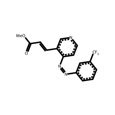 COC(=O)/C=C/c1cnccc1/N=N\c1cccc(C(F)(F)F)c1